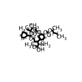 CCCC(C)OC(=O)Oc1ccc(C(C(C)COC(=O)C2CCCCC2)[C@H](N)C(=O)O)cc1OC(=O)OC(C)CCC